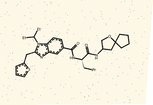 CCC(CC)n1c(Cc2cccs2)nc2cc(C(=O)N[C@@H](CC(C)C)C(=O)NC3COC4(CCCC4)C3)ccc21